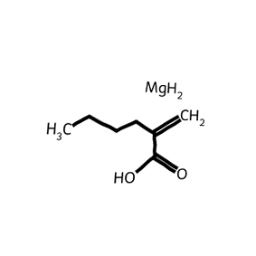 C=C(CCCC)C(=O)O.[MgH2]